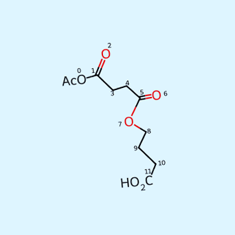 CC(=O)OC(=O)CCC(=O)OCCCC(=O)O